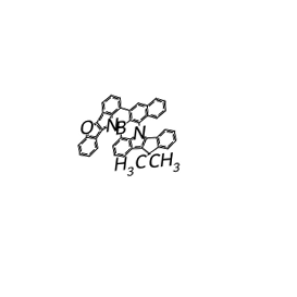 CC1(C)c2ccccc2-c2c1c1cccc3c1n2-c1c2c(cc4ccccc14)-c1cccc4c5oc6ccccc6c5n(c14)B23